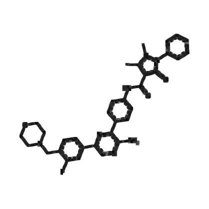 Cc1c(C(=O)Nc2ccc(-c3nc(-c4ccc(CN5CCOCC5)c(F)c4)cnc3N)cc2)c(=O)n(-c2ccccc2)n1C